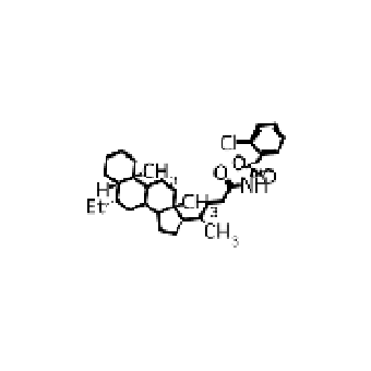 CC[C@H]1CC2C3CC[C@H]([C@H](C)CCC(=O)NS(=O)(=O)c4ccccc4Cl)[C@@]3(C)CCC2[C@@]2(C)CCCC[C@@H]12